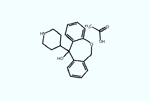 CC(=O)O.OC1(C2CCNCC2)c2ccccc2COc2ccccc21